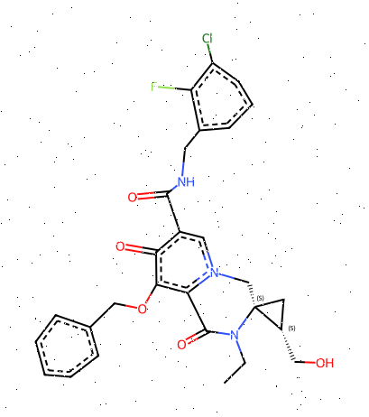 CCN1C(=O)c2c(OCc3ccccc3)c(=O)c(C(=O)NCc3cccc(Cl)c3F)cn2C[C@@]12C[C@@H]2CO